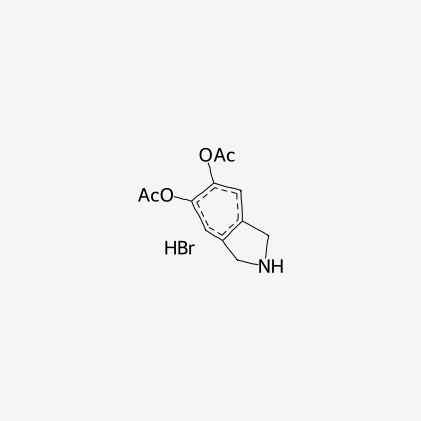 Br.CC(=O)Oc1cc2c(cc1OC(C)=O)CNC2